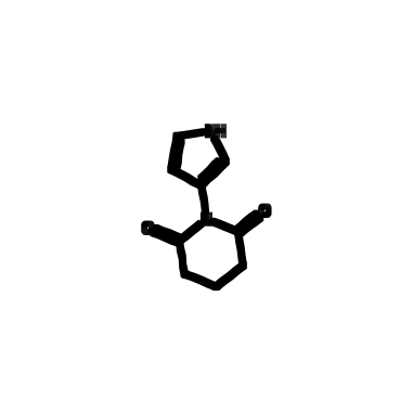 O=C1CCCC(=O)N1c1cc[nH]c1